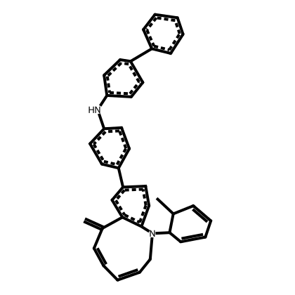 C=C1/C=C\C=C/CN(C2C=CC=CC2C)c2ccc(-c3ccc(Nc4ccc(-c5ccccc5)cc4)cc3)cc21